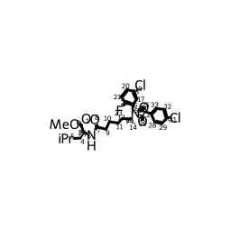 COC(=O)[C@H](CC(C)C)NC(=O)CCCC[C@@H](C)N(c1cc(Cl)ccc1F)S(=O)(=O)c1ccc(Cl)cc1